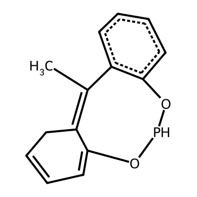 C/C1=C2\CC=CC=C2OPOc2ccccc21